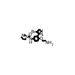 Cn1ncc(Br)c1-c1cc(NC(=O)N2C=NCCC2)ccc1OCCN